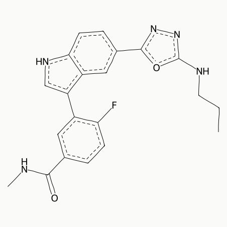 CCCNc1nnc(-c2ccc3[nH]cc(-c4cc(C(=O)NC)ccc4F)c3c2)o1